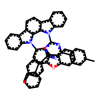 Cc1ccc(-c2nc(-c3ccc(C)cc3)nc(-n3c4ccccc4c4ccc5c6ccccc6n(-c6cc(-c7ccccc7)c7oc8ccccc8c7c6)c5c43)n2)cc1